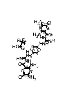 N=C(NC[C@@H]1CO[C@@H](CNC(=N)NC(=O)c2nc(Cl)c(N)nc2N)CO1)NC(=O)c1nc(Cl)c(N)nc1N.O=C(O)C(F)(F)F